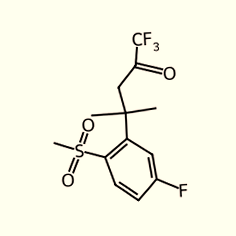 CC(C)(CC(=O)C(F)(F)F)c1cc(F)ccc1S(C)(=O)=O